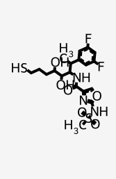 CC(c1cc(F)cc(F)c1)C(NC(=O)c1coc(NS(C)(=O)=O)n1)C(O)C(O)CCCS